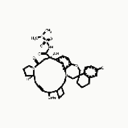 COC1C=CC[C@@H]2CCCN2C(=O)C[C@@](O)(C(=O)NS(=O)(=O)N(C)C)c2ccc3c(c2)N(CC2CCC21)CC1(CCCc2cc(Cl)ccc21)CO3